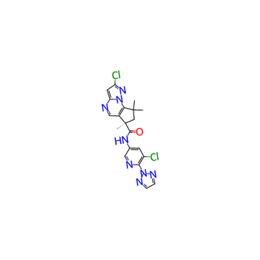 CC1(C)C[C@@](C)(C(=O)Nc2cnc(-n3nccn3)c(Cl)c2)c2cnc3cc(Cl)nn3c21